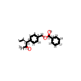 [3H]C(=O)[C@@H](CC)c1ccc(COC(=O)c2ccccc2)cc1